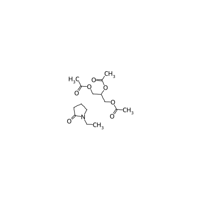 CC(=O)OCC(COC(C)=O)OC(C)=O.CCN1CCCC1=O